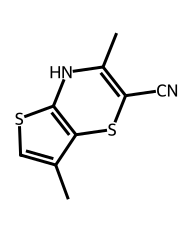 CC1=C(C#N)Sc2c(C)csc2N1